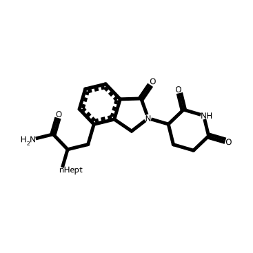 CCCCCCCC(Cc1cccc2c1CN(C1CCC(=O)NC1=O)C2=O)C(N)=O